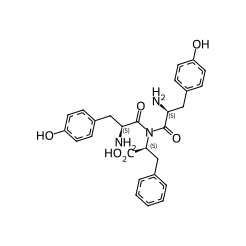 N[C@@H](Cc1ccc(O)cc1)C(=O)N(C(=O)[C@@H](N)Cc1ccc(O)cc1)[C@@H](Cc1ccccc1)C(=O)O